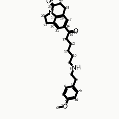 COc1ccc(CCNCCCCCC(=O)c2cc3c4c(c2)CCN4C(=O)CC3)cc1